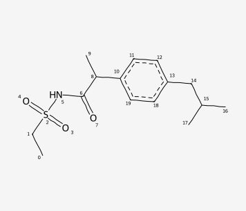 CCS(=O)(=O)NC(=O)C(C)c1ccc(CC(C)C)cc1